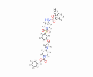 CC(C)(C)OC(=O)NC1CCN(S(=O)(=O)c2cccc(OC3CN(C4CCN(C(=O)OCc5ccccc5)CC4)C3)c2)CC1